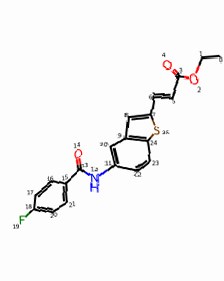 CCOC(=O)/C=C/c1cc2cc(NC(=O)c3ccc(F)cc3)ccc2s1